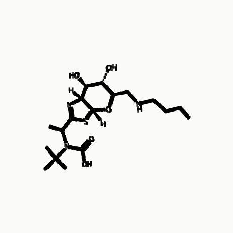 CCCCNC[C@H]1O[C@@H]2SC(C(C)N(C(=O)O)C(C)(C)C)=N[C@@H]2[C@@H](O)[C@@H]1O